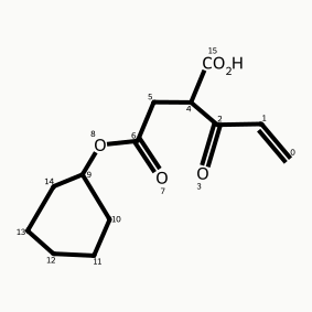 C=CC(=O)C(CC(=O)OC1CCCCC1)C(=O)O